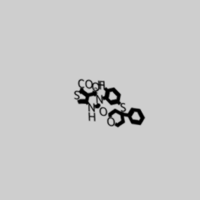 O=C(O)c1scc2[nH]c(=O)n(-c3cc(SC4(c5ccccc5)CCOCC4)ccc3F)c(=O)c12